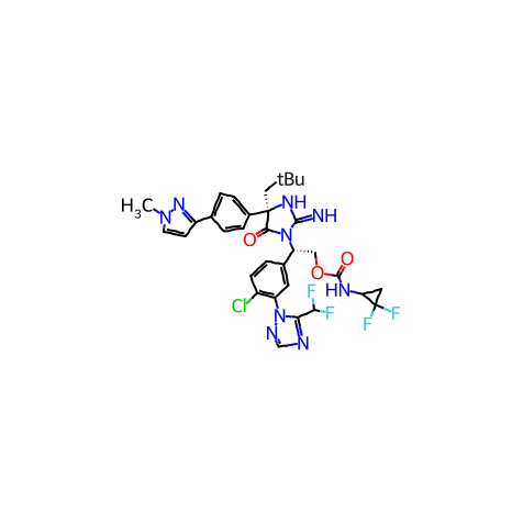 Cn1ccc(-c2ccc([C@@]3(CC(C)(C)C)NC(=N)N([C@H](COC(=O)NC4CC4(F)F)c4ccc(Cl)c(-n5ncnc5C(F)F)c4)C3=O)cc2)n1